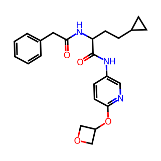 O=C(Cc1ccccc1)NC(CCC1CC1)C(=O)Nc1ccc(OC2COC2)nc1